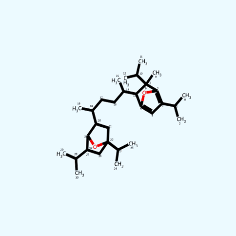 CC(C)c1cc2oc1C(C)(C(C)C)C2C(C)CCC(C)C1CC2(C(C)C)CC(C(C)C)C1O2